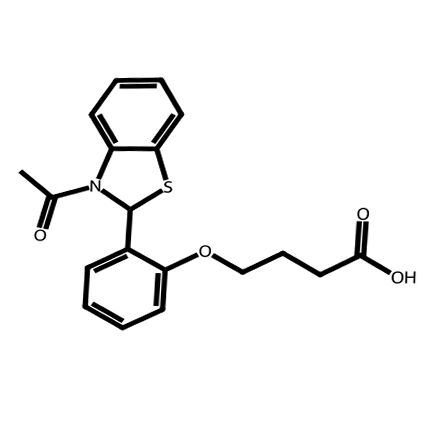 CC(=O)N1c2ccccc2SC1c1ccccc1OCCCC(=O)O